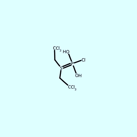 OP(O)(Cl)=S(CC(Cl)(Cl)Cl)CC(Cl)(Cl)Cl